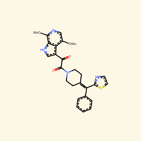 COc1ncc(OC)c2c(C(=O)C(=O)N3CCC(=C(c4ccccc4)c4nccs4)CC3)c[nH]c12